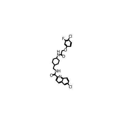 O=C(COc1ccc(Cl)c(F)c1)NC1CCC(CNC(=O)c2ccc3cc(Cl)ccc3n2)CC1